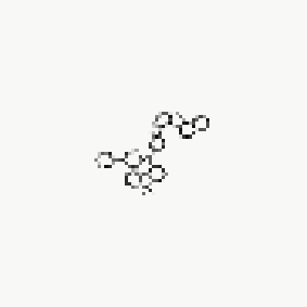 CC1(C)c2ccccc2-c2c(N(c3ccc(C4=CCCC=C4)cc3)c3ccc4c(c3)sc3ccc5c(c34)-c3ccc4ccccc4c3C5)cccc21